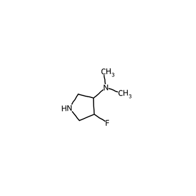 CN(C)C1CNCC1F